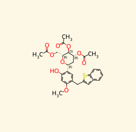 COc1cc(O)c([C@H]2C[C@@H](OC(C)=O)[C@H](OC(C)=O)[C@@H](COC(C)=O)O2)cc1Cc1cc2ccccc2s1